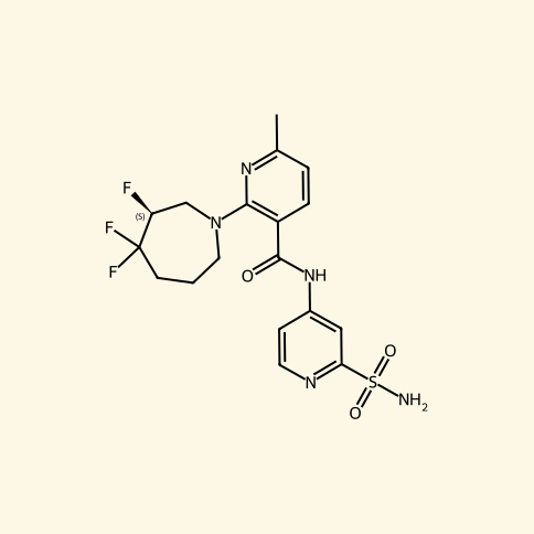 Cc1ccc(C(=O)Nc2ccnc(S(N)(=O)=O)c2)c(N2CCCC(F)(F)[C@@H](F)C2)n1